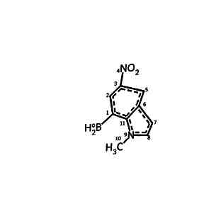 Bc1cc([N+](=O)[O-])cc2ccn(C)c12